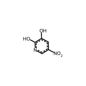 O=[N+]([O-])c1cnc(O)c(O)c1